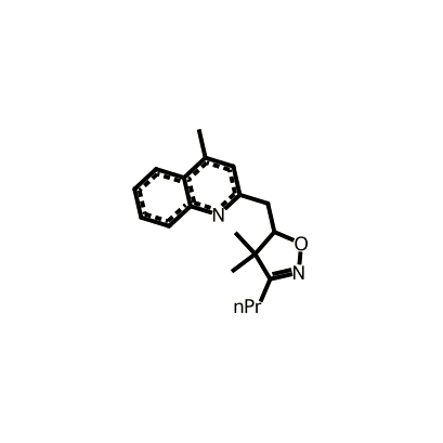 CCCC1=NOC(Cc2cc(C)c3ccccc3n2)C1(C)C